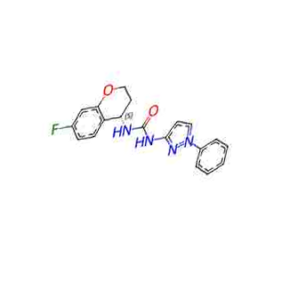 O=C(Nc1ccn(-c2ccccc2)n1)N[C@H]1CCOc2cc(F)ccc21